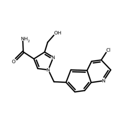 NC(=O)c1cn(Cc2ccc3ncc(Cl)cc3c2)nc1CO